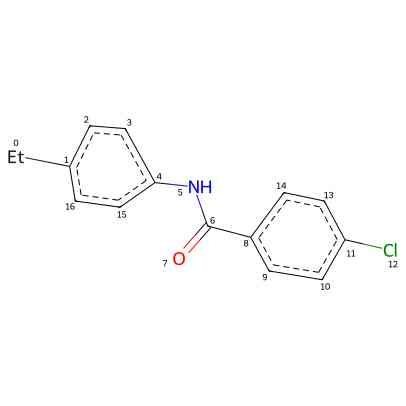 CCc1ccc(NC(=O)c2ccc(Cl)cc2)cc1